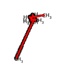 CCCCCCCCCCCCCCCCCCCC(=O)N[C@@H](CCS(=O)(=O)O)C(=O)N[C@@H](CCS(=O)(=O)O)C(=O)N[C@H](C(=O)N[C@@H](CCCCNC(=O)CCOCCOCCOCCOCCOCCOCCOCCOCCOCCOCCOCCOCCOCCOCCOCCOCCOCCOCCOCCOCCOCCOCCOCCOC)C(=O)N1CCN(C)CC1)[C@@H](C)CC